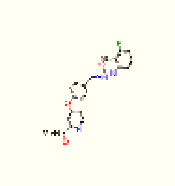 CNC(=O)c1cc(Oc2ccc(CNC(=O)Nc3cccc(F)c3C#N)cc2)ccn1